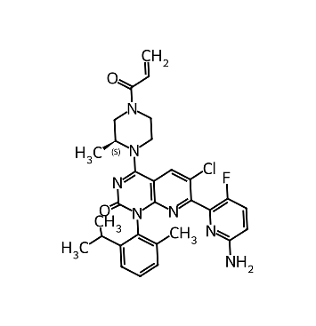 C=CC(=O)N1CCN(c2nc(=O)n(-c3c(C)cccc3C(C)C)c3nc(-c4nc(N)ccc4F)c(Cl)cc23)[C@@H](C)C1